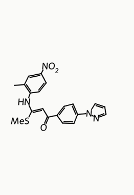 CS/C(=C\C(=O)c1ccc(-n2cccn2)cc1)Nc1ccc([N+](=O)[O-])cc1C